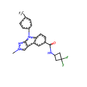 Cn1cc2c3cc(C(=O)NC4CC(F)(F)C4)ccc3n(-c3ccc(C(F)(F)F)cc3)c2n1